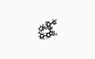 FC1(F)CCN(Cc2cncc(-c3ccc4[nH]nc(-c5nc6c(-c7ccsc7)cncc6[nH]5)c4c3)c2)C1